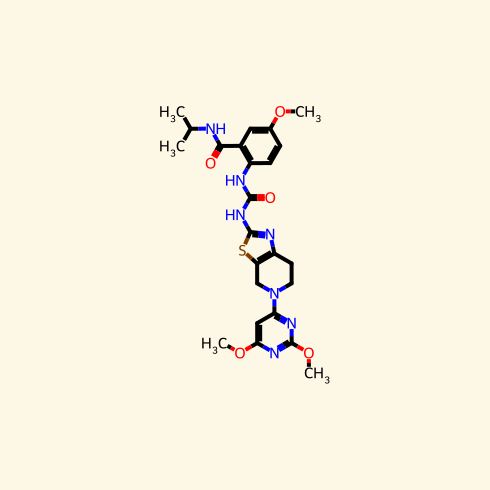 COc1ccc(NC(=O)Nc2nc3c(s2)CN(c2cc(OC)nc(OC)n2)CC3)c(C(=O)NC(C)C)c1